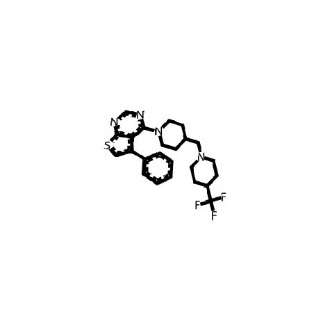 FC(F)(F)C1CCN(CC2CCN(c3ncnc4scc(-c5ccccc5)c34)CC2)CC1